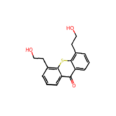 O=c1c2cccc(CCO)c2sc2c(CCO)cccc12